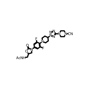 CC(=O)NCC1CN(c2cc(F)c(N3CCC(n4nnc(N5CCN(C#N)CC5)n4)CC3)c(F)c2)C(=O)O1